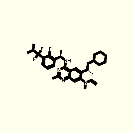 C=CN(C)c1cc2nc(C)nc(N[C@H](C)c3cccc(C(F)(F)C(C)C)c3F)c2cc1[C@@H](C)CC1CCCCC1